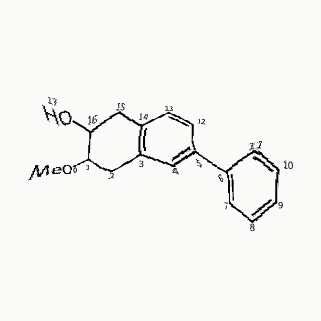 COC1Cc2cc(-c3ccccc3)ccc2CC1O